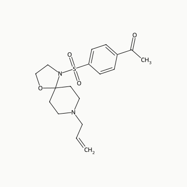 C=CCN1CCC2(CC1)OCCN2S(=O)(=O)c1ccc(C(C)=O)cc1